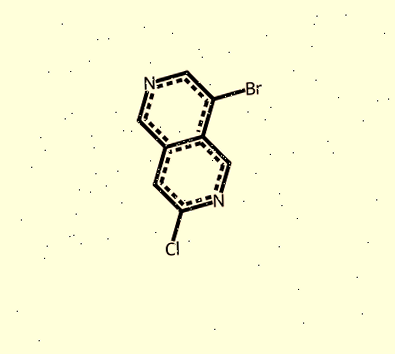 Clc1cc2cncc(Br)c2cn1